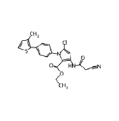 CCOC(=O)c1c(NC(=O)CC#N)cc(Cl)n1-c1ccc(-c2sccc2C)cc1